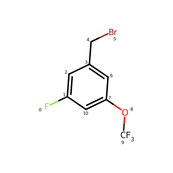 Fc1cc(CBr)cc(OC(F)(F)F)c1